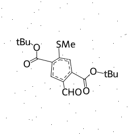 CSc1cc(C(=O)OC(C)(C)C)c(C=O)cc1C(=O)OC(C)(C)C